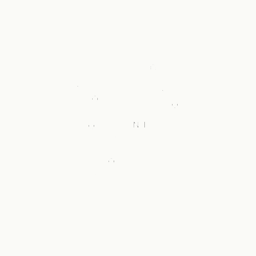 COC(=O)[C@@H](COC(C)(C)C)NC(=O)OC(C)(C)C